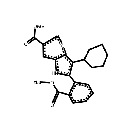 COC(=O)c1ccc2c(C3CCCCC3)c(-c3ccccc3C(=O)OC(C)(C)C)[nH]c2c1